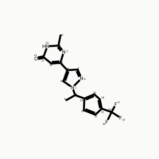 Cc1nc(-c2cnn(C(C)c3ccc(C(F)(F)F)cc3)c2)cc(=O)[nH]1